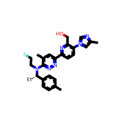 CC[C@@H](c1ccc(C)cc1)N(CCF)c1nnc(-c2ccc(-n3cnc(C)c3)c(CO)n2)cc1C